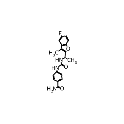 Cc1c([C@@H](C)NC(=O)Nc2ccc(C(N)=O)cc2)oc2ccc(F)cc12